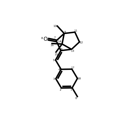 CC1=CC=C(/C=C2/C(=O)C3(C)CCC2C3(C)C)CC1